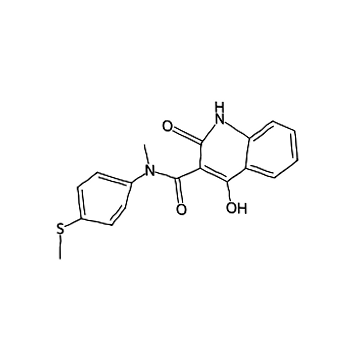 CSc1ccc(N(C)C(=O)c2c(O)c3ccccc3[nH]c2=O)cc1